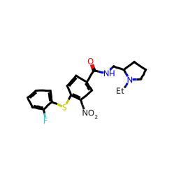 CCN1CCCC1CNC(=O)c1ccc(Sc2ccccc2F)c([N+](=O)[O-])c1